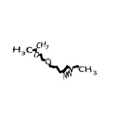 CCn1cc(CCCOCCOC(C)C)nn1